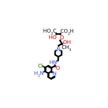 CC(O)(COC(C(=O)O)C(O)C(=O)O)CN1CCC(CNC(=O)c2cc(Cl)c(N)c3cccnc23)CC1